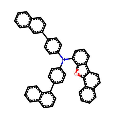 c1ccc2cc(-c3ccc(N(c4ccc(-c5cccc6ccccc56)cc4)c4cccc5c4oc4c6ccccc6ccc54)cc3)ccc2c1